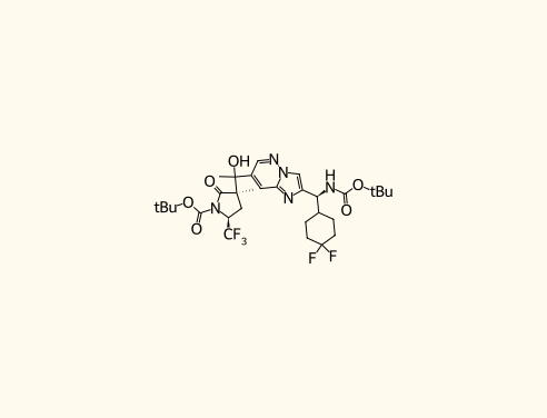 CC(C)(C)OC(=O)N[C@H](c1cn2ncc(C(C)(O)[C@@]3(C)C[C@@H](C(F)(F)F)N(C(=O)OC(C)(C)C)C3=O)cc2n1)C1CCC(F)(F)CC1